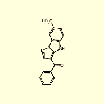 O=C(O)c1ccc2[nH]c3c(C(=O)c4ccccc4)cnn3c2c1